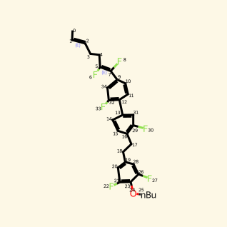 C/C=C/CC/C(F)=C(\F)c1ccc(-c2ccc(CCc3cc(F)c(OCCCC)c(F)c3)c(F)c2)c(F)c1